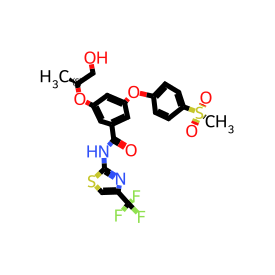 C[C@@H](CO)Oc1cc(Oc2ccc(S(C)(=O)=O)cc2)cc(C(=O)Nc2nc(C(F)(F)F)cs2)c1